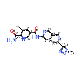 Cc1cc(C(=O)Nc2cc3cc(-c4cn(C)nn4)ncc3cn2)cnc1C(N)=O